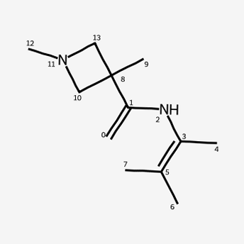 C=C(NC(C)=C(C)C)C1(C)CN(C)C1